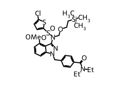 CCN(CC)C(=O)c1ccc(Cn2nc(N(COCC[Si](C)(C)C)S(=O)(=O)c3ccc(Cl)s3)c3c(OC)cccc32)cc1